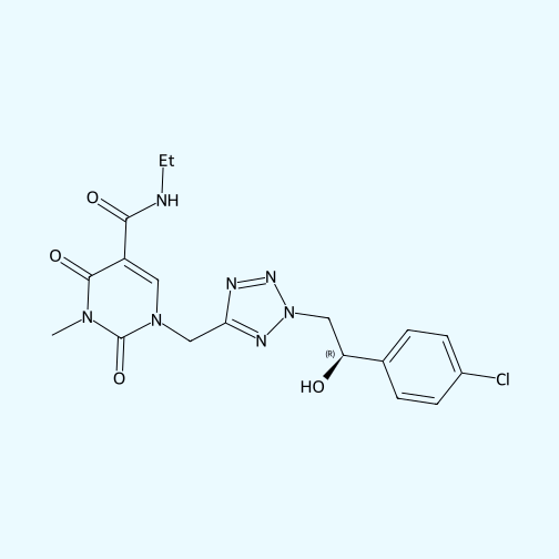 CCNC(=O)c1cn(Cc2nnn(C[C@H](O)c3ccc(Cl)cc3)n2)c(=O)n(C)c1=O